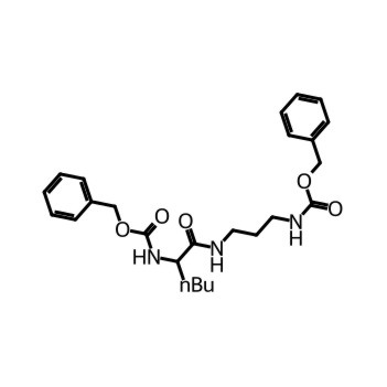 CCCCC(NC(=O)OCc1ccccc1)C(=O)NCCCNC(=O)OCc1ccccc1